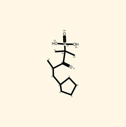 CC(CC1CCCC1)C(=O)C(C)(C)P(=O)(O)O